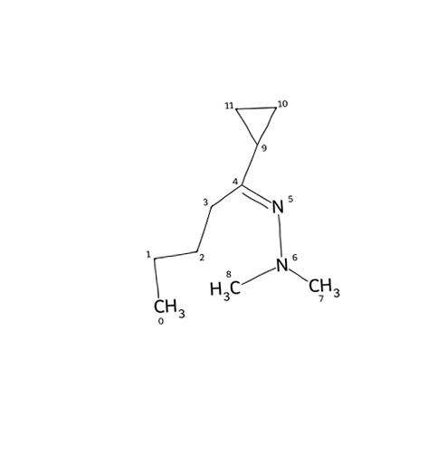 CCCCC(=NN(C)C)C1CC1